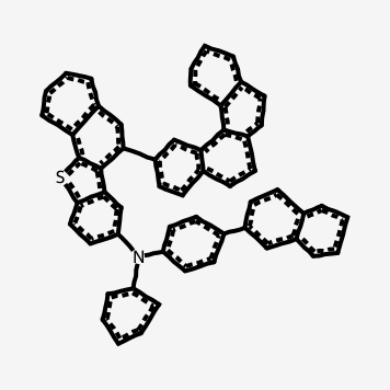 c1ccc(N(c2ccc(-c3ccc4ccccc4c3)cc2)c2ccc3sc4c5ccccc5cc(-c5ccc6ccc7ccc8ccccc8c7c6c5)c4c3c2)cc1